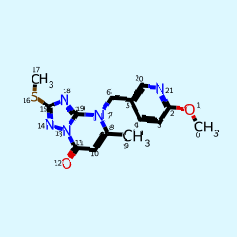 COc1ccc(Cn2c(C)cc(=O)n3nc(SC)nc23)cn1